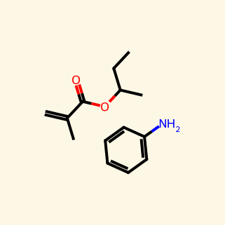 C=C(C)C(=O)OC(C)CC.Nc1ccccc1